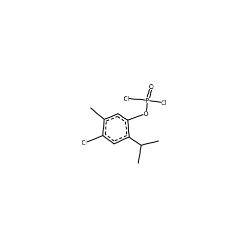 Cc1cc(OP(=O)(Cl)Cl)c(C(C)C)cc1Cl